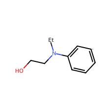 CCN(CCO)c1c[c]ccc1